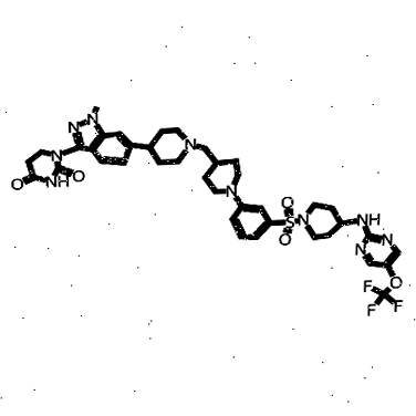 Cn1nc(N2CCC(=O)NC2=O)c2ccc(C3CCN(CC4CCN(c5cccc(S(=O)(=O)N6CCC(Nc7ncc(OC(F)(F)F)cn7)CC6)c5)CC4)CC3)cc21